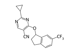 N#Cc1cnc(C2CC2)nc1OC1CCc2ccc(C(F)(F)F)cc21